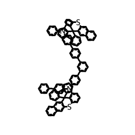 c1ccc(-c2ccc(N(c3ccc(-c4cccc(-c5ccc(-c6ccc(N(c7ccccc7)c7cccc8c7C7(c9cc%10ccccc%10cc9S8)c8ccccc8-c8ccccc87)cc6)cc5)c4)cc3)c3cccc4c3C3(c5cc6ccccc6cc5S4)c4ccccc4-c4ccccc43)cc2)cc1